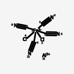 N#[C][Fe-3]([Cl])([Cl])([C]#N)([C]#N)[C]#N.[Al+3]